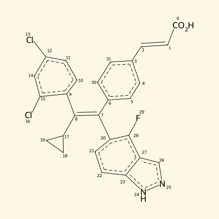 O=C(O)C=Cc1ccc(C(=C(c2ccc(Cl)cc2Cl)C2CC2)c2ccc3[nH]ncc3c2F)cc1